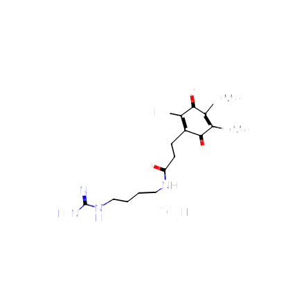 COC1=C(OC)C(=O)C(CCC(=O)N[C@@H](CCCNC(=N)N)C(=O)O)=C(C)C1=O